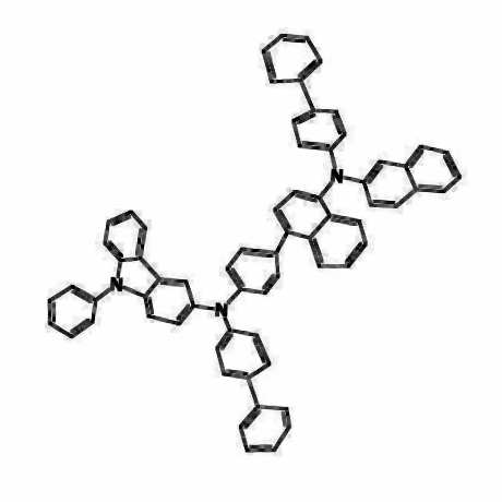 c1ccc(-c2ccc(N(c3ccc(-c4ccc(N(c5ccc(-c6ccccc6)cc5)c5ccc6ccccc6c5)c5ccccc45)cc3)c3ccc4c(c3)c3ccccc3n4-c3ccccc3)cc2)cc1